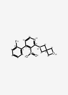 O=[N+]([O-])c1c(-c2ccccc2F)ccnc1N1CC2(COC2)C1